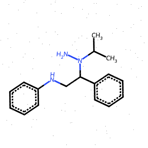 CC(C)N(N)C(CNc1ccccc1)c1ccccc1